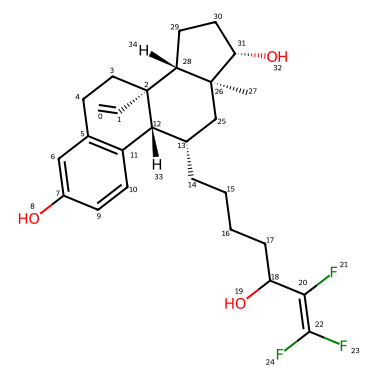 C=C[C@@]12CCc3cc(O)ccc3[C@H]1[C@@H](CCCCC(O)C(F)=C(F)F)C[C@@]1(C)[C@H]2CC[C@@H]1O